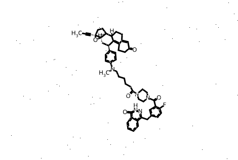 CC#C[C@]12CC[C@H]3[C@@H]4CCC5=CC(=O)CCC5=C4[C@@H](c4ccc(N(C)CCCCCC(=O)N5CCN(C(=O)c6cc(Cc7n[nH]c(=O)c8ccccc78)ccc6F)CC5)cc4)C[C@@]31O2